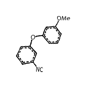 [C-]#[N+]c1cccc(Oc2cccc(OC)c2)c1